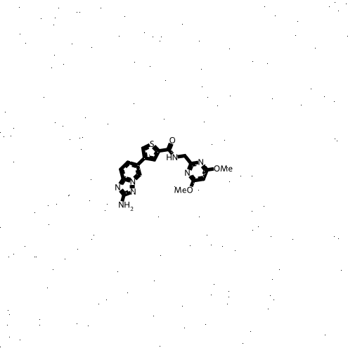 COc1cc(OC)nc(CNC(=O)c2cc(-c3ccc4nc(N)nn4c3)cs2)n1